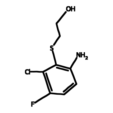 Nc1ccc(F)c(Cl)c1SCCO